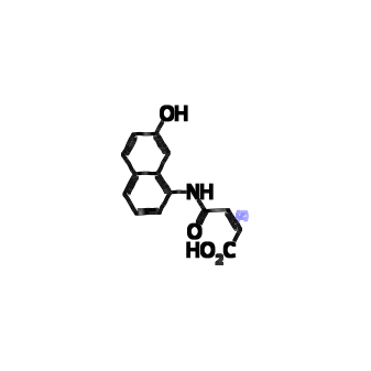 O=C(O)/C=C\C(=O)Nc1cccc2ccc(O)cc12